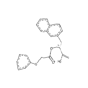 O=C(COc1ccccc1)O[C@H](Cc1ccc2ccccc2c1)C(=O)O